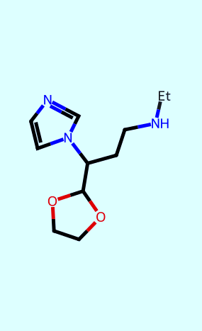 CCNCCC(C1OCCO1)n1ccnc1